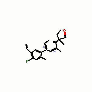 C=Cc1cc(C(/C=C(/C)C(=C)C(C)(C=O)CC)=C/C)c(C)cc1F